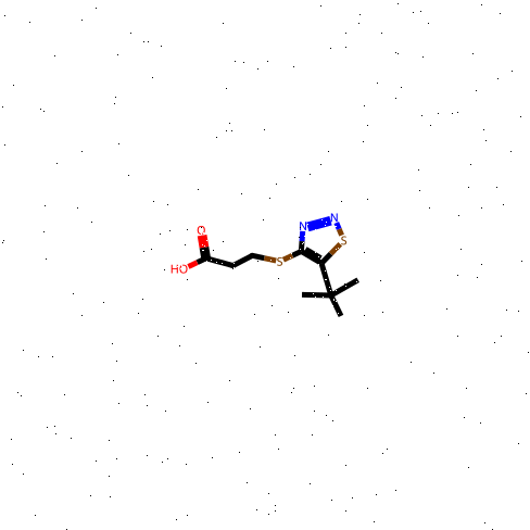 CC(C)(C)c1snnc1SCCC(=O)O